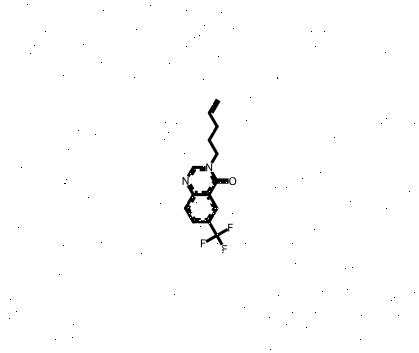 C=CCCCn1cnc2ccc(C(F)(F)F)cc2c1=O